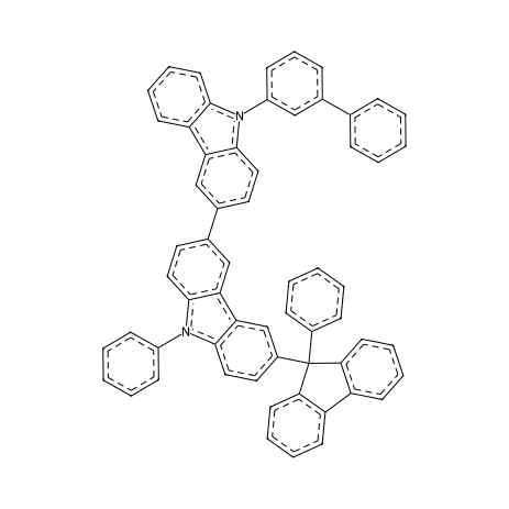 c1ccc(-c2cccc(-n3c4ccccc4c4cc(-c5ccc6c(c5)c5cc(C7(c8ccccc8)c8ccccc8-c8ccccc87)ccc5n6-c5ccccc5)ccc43)c2)cc1